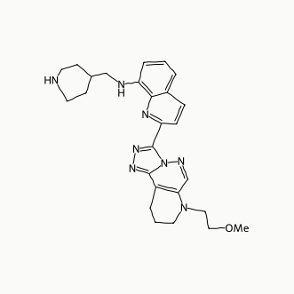 COCCN1CCCc2c1cnn1c(-c3ccc4cccc(NCC5CCNCC5)c4n3)nnc21